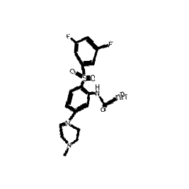 CCCC(=O)Nc1cc(N2CCN(C)CC2)ccc1S(=O)(=O)c1cc(F)cc(F)c1